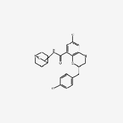 O=C(NC1CN2CCC1CC2)c1cc(Cl)cc2c1OC(Cc1ccc(Cl)cc1)CN2